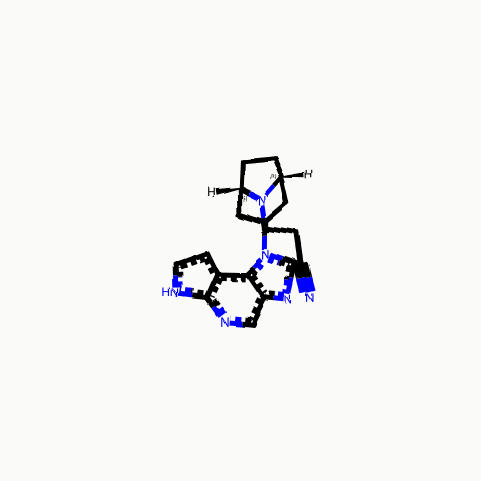 N#CCCN1[C@@H]2CC[C@H]1CC(n1cnc3cnc4[nH]ccc4c31)C2